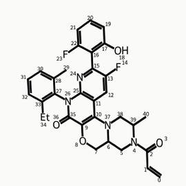 C=CC(=O)N1CC2COc3c(c4cc(F)c(-c5c(O)cccc5F)nc4n(-c4c(C)cccc4CC)c3=O)N2CC1C